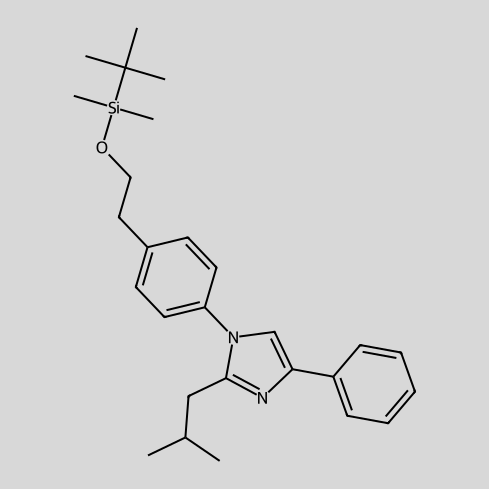 CC(C)Cc1nc(-c2ccccc2)cn1-c1ccc(CCO[Si](C)(C)C(C)(C)C)cc1